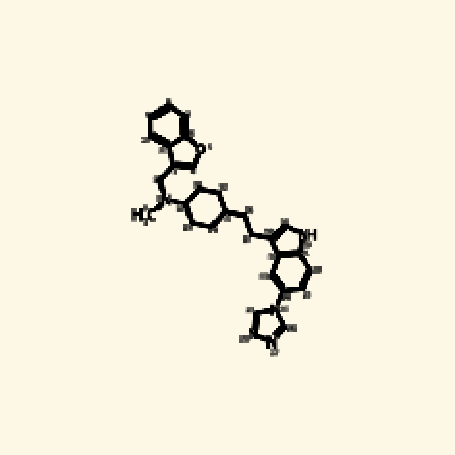 CN(Cc1coc2ccccc12)C1CCC(CCc2c[nH]c3ccc(-n4cnnc4)cc23)CC1